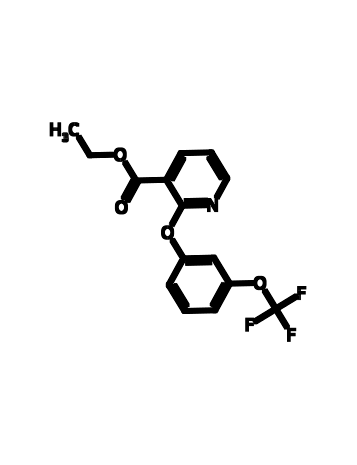 CCOC(=O)c1cccnc1Oc1cccc(OC(F)(F)F)c1